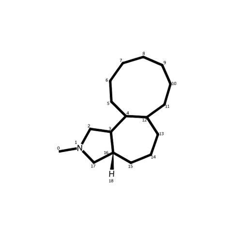 CN1CC2C3CCCCCCCC3CCC[C@@H]2C1